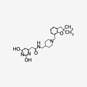 CC1(C)Cc2cccc(CN3CCC(CNC(=O)Cc4cc(O)nc(O)n4)CC3)c2O1